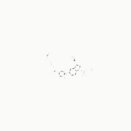 CC(=O)OCCOC(=O)c1cnn(-c2ccc3c(c2)c(C#N)cn3C(C)C)c1